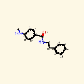 CNc1ccc(C(=O)NCCc2ccccc2)cc1